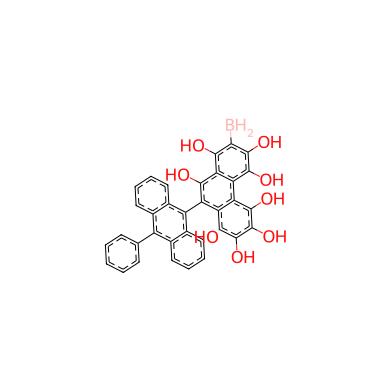 Bc1c(O)c(O)c2c(c1O)c(O)c(-c1c3ccccc3c(-c3ccccc3)c3ccccc13)c1c(O)c(O)c(O)c(O)c12